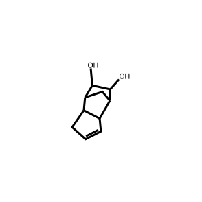 OC1C(O)C2CC1C1C=CCC12